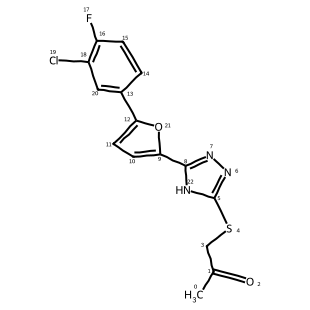 CC(=O)CSc1nnc(-c2ccc(-c3ccc(F)c(Cl)c3)o2)[nH]1